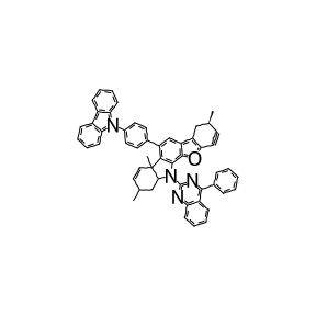 CC1C=CC2(C)c3c(-c4ccc(-n5c6ccccc6c6ccccc65)cc4)cc4c5c(oc4c3N(c3nc(-c4ccccc4)c4ccccc4n3)C2C1)C#C[C@H](C)C5